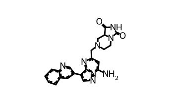 Nc1cc(CN2CCN3C(=O)NC(=O)C3C2)nc2c(-c3cnc4ccccc4c3)cnn12